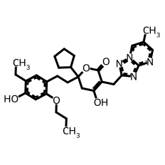 CCCOc1cc(O)c(CC)cc1CCC1(C2CCCC2)CC(O)=C(Cc2nc3ncc(C)cn3n2)C(=O)O1